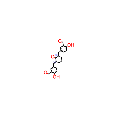 O=Cc1cc(/C=C2\CCC/C(=C\c3ccc(O)c(C=O)c3)C2=O)ccc1O